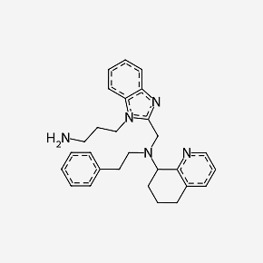 NCCCn1c(CN(CCc2ccccc2)C2CCCc3cccnc32)nc2ccccc21